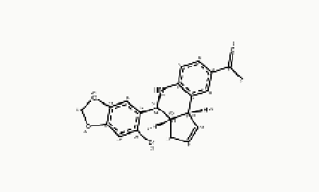 CC(=O)c1ccc2c(c1)[C@@H]1C=CC[C@@H]1[C@@H](c1cc3c(cc1Br)OCO3)N2